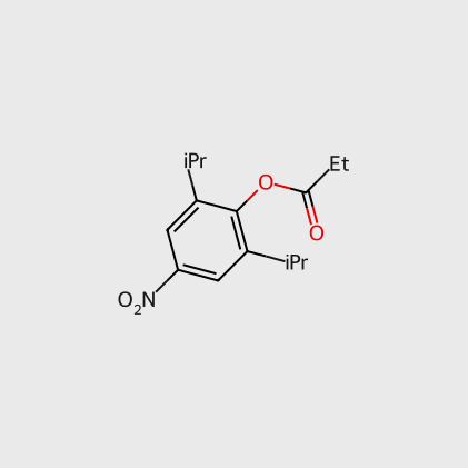 CCC(=O)Oc1c(C(C)C)cc([N+](=O)[O-])cc1C(C)C